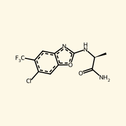 C[C@H](Nc1nc2cc(C(F)(F)F)c(Cl)cc2o1)C(N)=O